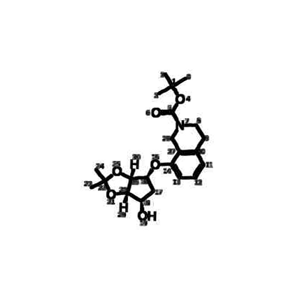 CC(C)(C)OC(=O)N1CCc2cccc(O[C@H]3C[C@@H](O)[C@@H]4OC(C)(C)O[C@@H]43)c2C1